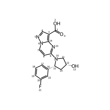 O=C(O)c1cnn2ccc(N3C[C@H](O)C[C@@H]3c3cccc(F)c3)nc12